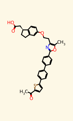 CC(=O)c1ccc(-c2ccc(-c3ccc(-c4nc(CCOc5ccc6c(c5)CC[C@H]6CC(=O)O)c(C)o4)cc3)cc2)s1